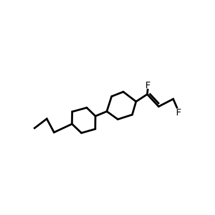 CCCC1CCC(C2CCC(/C(F)=C/CF)CC2)CC1